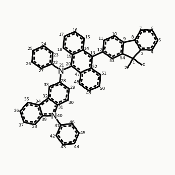 CC1(C)c2ccccc2-c2ccc(-c3c4ccccc4c(N(c4ccccc4)c4ccc5c(c4)c4ccccc4n5-c4ccccc4)c4ccccc34)cc21